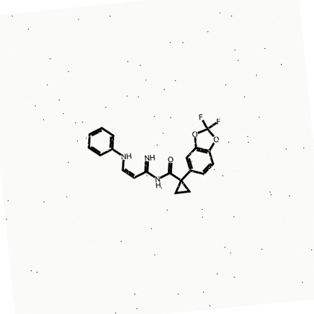 N=C(/C=C\Nc1ccccc1)NC(=O)C1(c2ccc3c(c2)OC(F)(F)O3)CC1